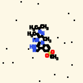 Cc1nn(C(C)C)c(C)c1Nc1nc2ccc(S(C)(=O)=O)cc2c2cn[nH]c12